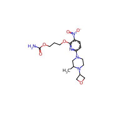 CC1CN(c2ccc([N+](=O)[O-])c(OCCCOC(N)=O)n2)CCN1C1COC1